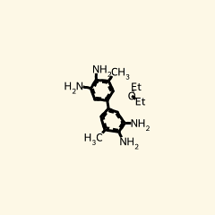 CCOCC.Cc1cc(-c2cc(C)c(N)c(N)c2)cc(N)c1N